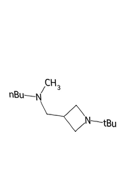 CCCCN(C)CC1CN(C(C)(C)C)C1